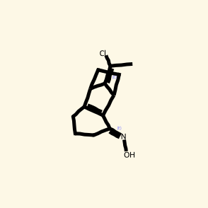 C/C(Cl)=C1/C2CCC1C1=C2CCC/C1=N\O